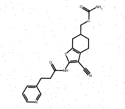 N#Cc1c(NC(=O)CCc2cccnc2)sc2c1CCC(COC(N)=O)C2